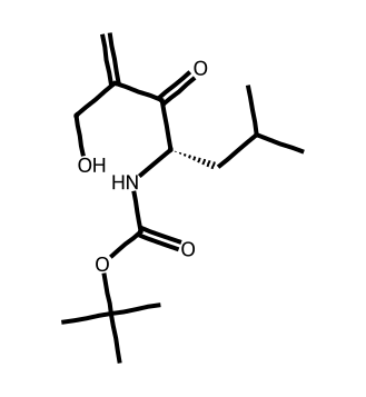 C=C(CO)C(=O)[C@H](CC(C)C)NC(=O)OC(C)(C)C